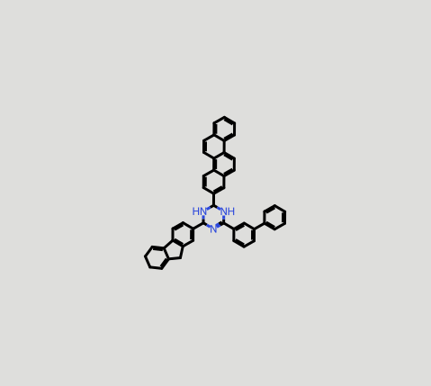 C1=C2Cc3cc(C4N=C(c5cccc(-c6ccccc6)c5)NC(c5ccc6c(ccc7c8ccccc8ccc67)c5)N4)ccc3C2=CCC1